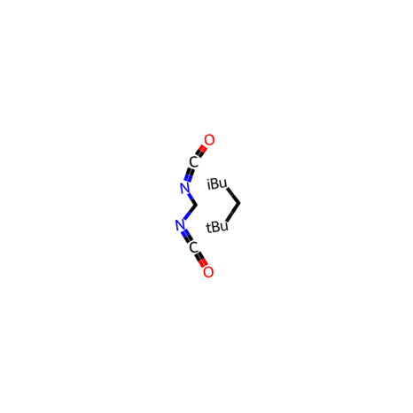 CCC(C)CC(C)(C)C.O=C=NCN=C=O